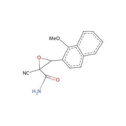 COc1c(C2OC2(C#N)C(N)=O)ccc2ccccc12